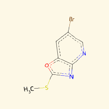 CSc1nc2ncc(Br)cc2o1